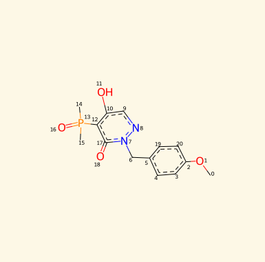 COc1ccc(Cn2ncc(O)c(P(C)(C)=O)c2=O)cc1